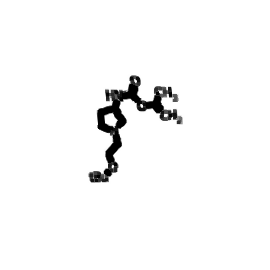 C=C(C)OC(=O)NC1CCN(CCOC(C)(C)C)C1